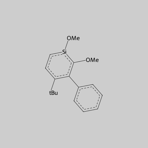 COc1c(-c2ccccc2)c(C(C)(C)C)cc[si]1OC